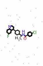 C[C@@H](NC(=O)c1ccc(Cl)cc1)C1CCC(c2ccnc3ccc(F)cc23)CC1